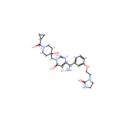 O=C1NCCN1CCOc1cccc(C2NSc3c2ncn(CC2(O)CCN(C(=O)C4CC4)CC2)c3=O)c1